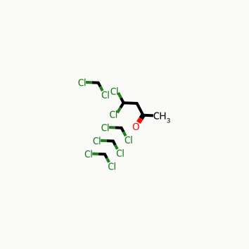 CC(=O)CC(Cl)Cl.ClCCl.ClCCl.ClCCl.ClCCl